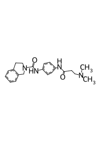 CN(C)CCC(=O)Nc1ccc(NC(=O)N2CCc3ccccc3C2)cc1